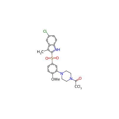 COc1ccc(S(=O)(=O)c2[nH]c3ccc(Cl)cc3c2C)cc1N1CCN(C(=O)C(Cl)(Cl)Cl)CC1